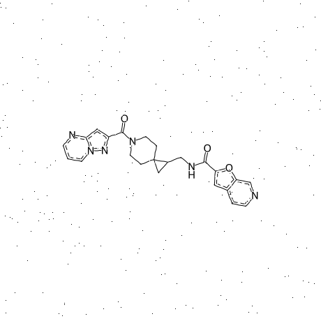 O=C(NCC1CC12CCN(C(=O)c1cc3ncccn3n1)CC2)c1cc2ccncc2o1